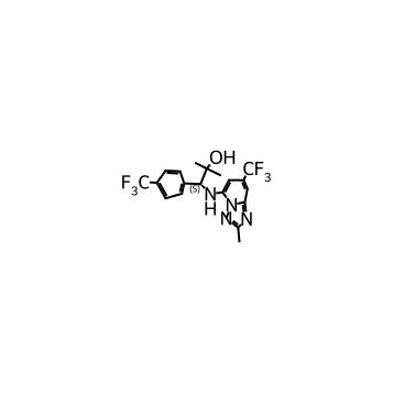 Cc1nc2cc(C(F)(F)F)cc(N[C@@H](c3ccc(C(F)(F)F)cc3)C(C)(C)O)n2n1